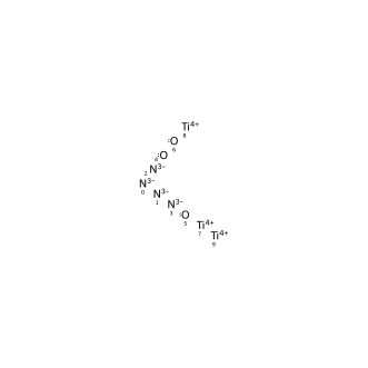 [N-3].[N-3].[N-3].[N-3].[O].[O].[O].[Ti+4].[Ti+4].[Ti+4]